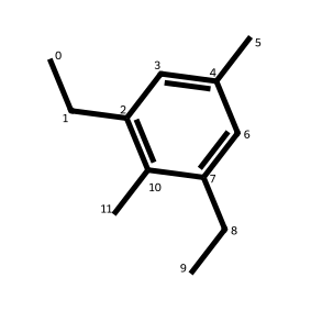 CCc1cc(C)cc(CC)c1C